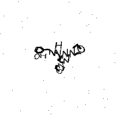 Oc1cccc(C=NNc2cc(N3CCOCC3)nc(N3CCOCC3)n2)c1